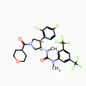 CN(C(=O)N(C)[C@@H]1CN(C(=O)C2CCOCC2)C[C@H]1c1ccc(F)cc1F)c1cc(C(F)(F)F)cc(C(F)(F)F)c1